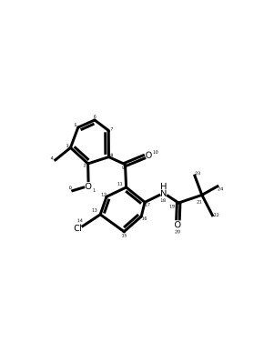 COc1c(C)cccc1C(=O)c1cc(Cl)ccc1NC(=O)C(C)(C)C